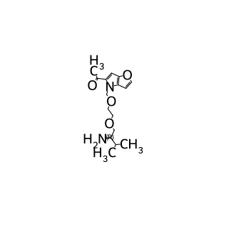 CC(=O)c1cc2occc2n1COCCOC[C@H](N)C(C)C